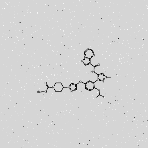 Cn1cc(NC(=O)c2cnn3cccnc23)c(-c2cc(Oc3cnn(C4CCN(C(=O)OC(C)(C)C)CC4)c3)ccc2OC(F)F)n1